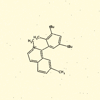 Cc1ccc2cc[n+](C)c(-c3cc(C(C)(C)C)cc(C(C)(C)C)c3C)c2c1